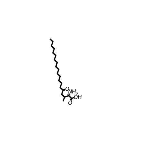 CCCCCCCCCCCCCCCC(=O)CC(C)[C@@H](N)C(=O)O